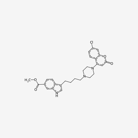 COC(=O)c1ccc2c(CCCCN3CCN(c4cc(=O)oc5cc(Cl)ccc45)CC3)c[nH]c2c1